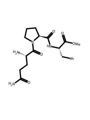 COC(=O)[C@H](CC(C)C)NC(=O)[C@@H]1CCCN1C(=O)[C@@H](N)CCC(N)=O